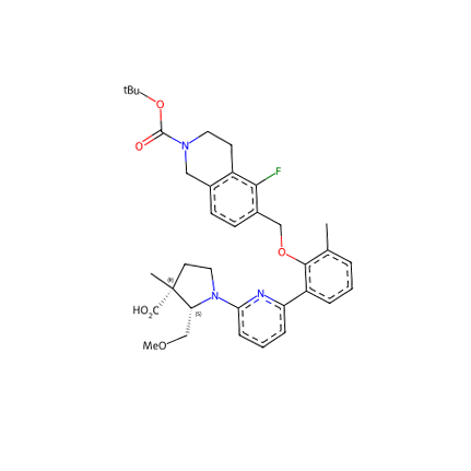 COC[C@H]1N(c2cccc(-c3cccc(C)c3OCc3ccc4c(c3F)CCN(C(=O)OC(C)(C)C)C4)n2)CC[C@@]1(C)C(=O)O